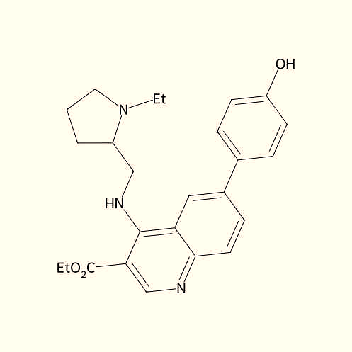 CCOC(=O)c1cnc2ccc(-c3ccc(O)cc3)cc2c1NCC1CCCN1CC